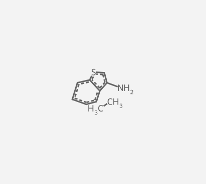 CC.Nc1csc2ccccc12